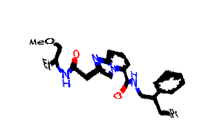 CCC(COC)NC(=O)Cc1cn2c(C(=O)NCC(CC(C)C)c3ccccc3)cccc2n1